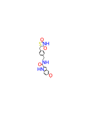 COc1ccc2[nH]c(C(=O)NCCc3ccc(CC4SC(=O)NC4=O)cc3)cc2c1